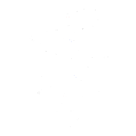 CC(C)(C)C1=CC2C3B(c4ccc(C(C)(C)C)cc4N(c4cccc5c4oc4ccccc45)C3=C1)C1CC(C(C)(C)C)=CC3=C1N2C1c2ccccc2OC31